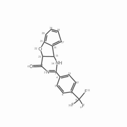 O=C1N=C(c2ccc(C(F)(F)F)cc2)NC2c3ccccc3OC12